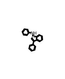 c1ccc(Nn2cc(-c3ccccc3)c3ccccc32)cc1